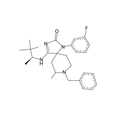 CC1CC2(CCN1Cc1ccccc1)C(N[C@@H](C)C(C)(C)C)=NC(=O)N2c1cccc(F)c1